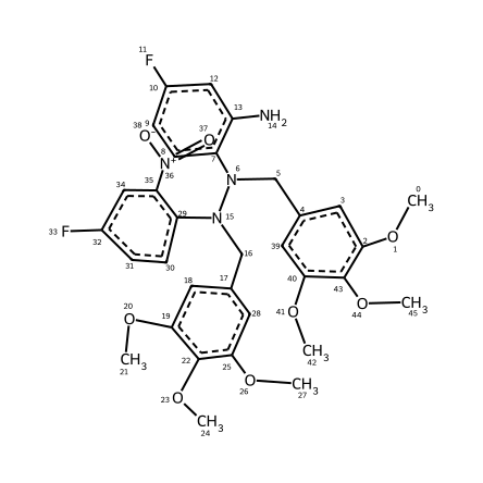 COc1cc(CN(c2ccc(F)cc2N)N(Cc2cc(OC)c(OC)c(OC)c2)c2ccc(F)cc2[N+](=O)[O-])cc(OC)c1OC